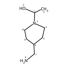 CC(O)N1CCC(CN)CC1